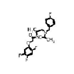 CC1CN(C(=O)COc2cc(F)c(F)cc2F)C(C)CN1Cc1ccc(F)cc1